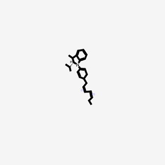 CC/C=C\C=C/CC1C=CC(N2c3ccccc3C(C)[C@H]2C(C)C)=CC1